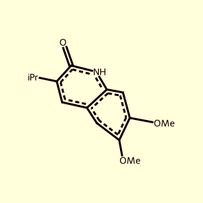 COc1cc2cc(C(C)C)c(=O)[nH]c2cc1OC